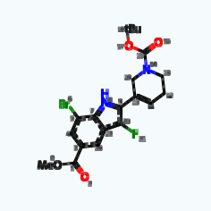 COC(=O)c1cc(Br)c2[nH]c(C3=CCCN(C(=O)OC(C)(C)C)C3)c(F)c2c1